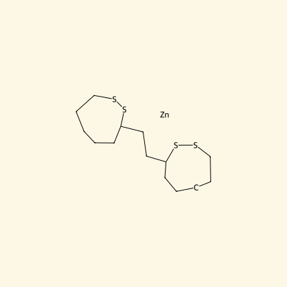 C1CCSSC(CCC2CCCCCSS2)CC1.[Zn]